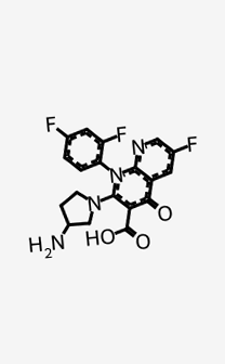 NC1CCN(c2c(C(=O)O)c(=O)c3cc(F)cnc3n2-c2ccc(F)cc2F)C1